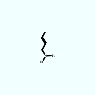 CC=CCN(CC)CC